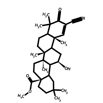 COC(=O)[C@]12CCC(C)(C)CC1C1[C@H](O)CC3[C@@]4(C)C=C(C#N)C(=O)C(C)(C)C4CC[C@@]3(C)[C@]1(C)CC2